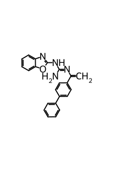 C=C(/N=C(\N)Nc1nc2ccccc2o1)c1ccc(-c2ccccc2)cc1